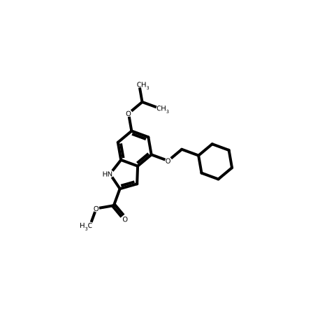 COC(=O)c1cc2c(OCC3CCCCC3)cc(OC(C)C)cc2[nH]1